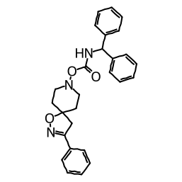 O=C(NC(c1ccccc1)c1ccccc1)ON1CCC2(CC1)CC(c1ccccc1)=NO2